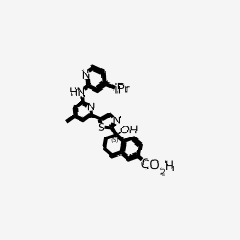 Cc1cc(Nc2cc(C(C)C)ccn2)nc(-c2cnc([C@]3(O)CCCc4cc(C(=O)O)ccc43)s2)c1